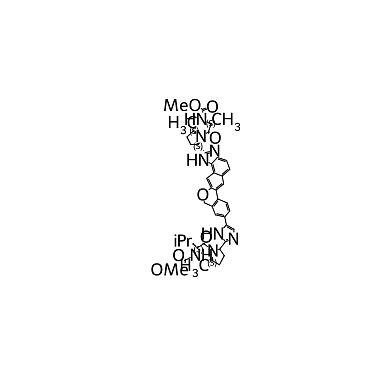 COC(=O)N[C@@H](C)C(=O)N1[C@@H](C)CC[C@H]1c1nc2ccc3cc4c(cc3c2[nH]1)OCc1cc(-c2cnc(C3CC[C@H](C)N3C(=O)[C@@H](NC(=O)OC)C(C)C)[nH]2)ccc1-4